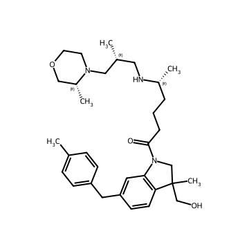 Cc1ccc(Cc2ccc3c(c2)N(C(=O)CCC[C@@H](C)NC[C@@H](C)CN2CCOC[C@H]2C)CC3(C)CO)cc1